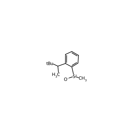 CC(c1ccccc1[S+](C)[O-])C(C)(C)C